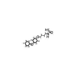 O=C(S)NCCCCOc1ccc(Oc2ccccc2)cc1